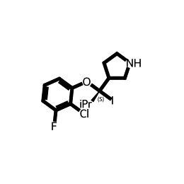 CC(C)[C@@](I)(Oc1cccc(F)c1Cl)C1CCNC1